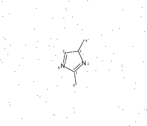 CC1=NC(C)C=N1